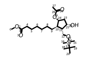 COC(=O)CCCCCC[C@@H]1[C@@H](CO[Si](C)(C)C(C)(C)C)[C@@H](O)C[C@@H]1OC(C)=O